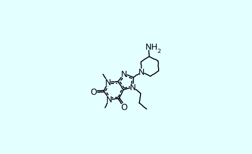 CCCn1c(N2CCCC(N)C2)nc2c1c(=O)n(C)c(=O)n2C